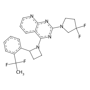 CC(F)(F)c1ccccc1C1CCN1c1nc(N2CCC(F)(F)C2)nc2ncccc12